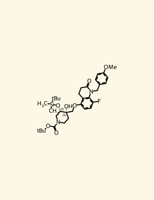 COc1ccc(CN2C(=O)CCc3c(OC[C@@]4(O)CCN(C(=O)OC(C)(C)C)C[C@@H]4O[Si](C)(C)C(C)(C)C)ccc(F)c32)cc1